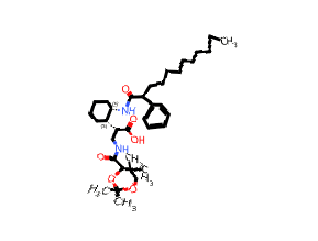 CCCCCCCCCCC(C(=O)N[C@H]1CCCC[C@H]1C(CNC(=O)C1OC(C)(C)OCC1(C)C)C(=O)O)c1ccccc1